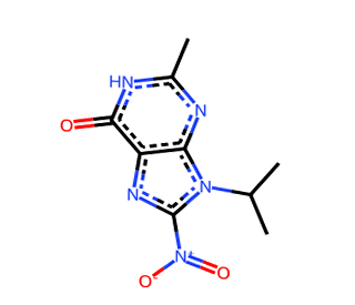 Cc1nc2c(nc([N+](=O)[O-])n2C(C)C)c(=O)[nH]1